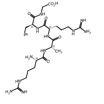 CC(C)C[C@H](NC(=O)[C@H](CCCNC(=N)N)NC(=O)[C@H](C)NC(=O)[C@@H](N)CCCNC(=N)N)C(=O)NCC(=O)O